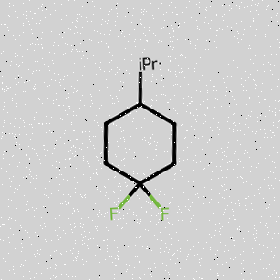 C[C](C)C1CCC(F)(F)CC1